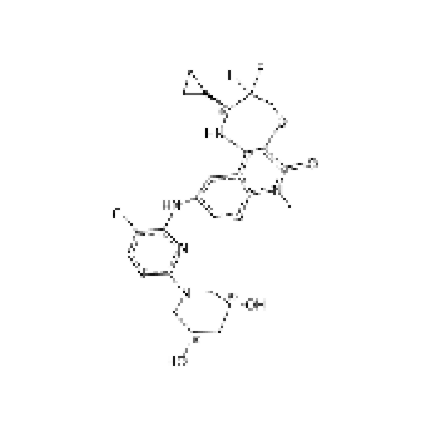 Cn1c(=O)c2c(c3cc(Nc4nc(N5C[C@H](O)C[C@H](O)C5)ncc4Cl)ccc31)N[C@@H](C1CC1)C(F)(F)CO2